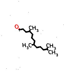 CC(C)CCCC(C)CCCC(C)CC[C]=O